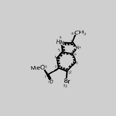 COC(=O)c1cc2[nH]c(C)nc2cc1Br